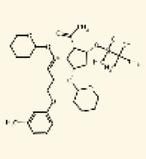 CC(=O)[C@H]1[C@@H](/C(=C\CCOc2cccc(C)c2)OC2CCCCO2)[C@@H](OC2CCCCO2)C[C@H]1O[Si](C)(C)C(C)(C)C